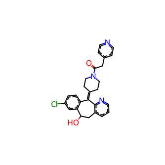 O=C(Cc1ccncc1)N1CCC(=C2c3ccc(Cl)cc3C(O)Cc3cccnc32)CC1